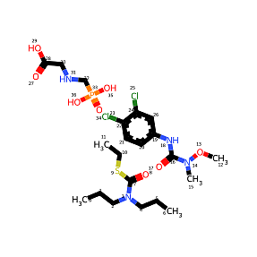 CCCN(CCC)C(=O)SCC.CON(C)C(=O)Nc1ccc(Cl)c(Cl)c1.O=C(O)CNCP(=O)(O)O